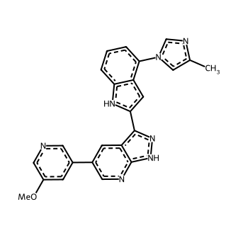 COc1cncc(-c2cnc3[nH]nc(-c4cc5c(-n6cnc(C)c6)cccc5[nH]4)c3c2)c1